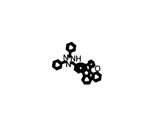 c1ccc(C2=NC(c3cccc(-c4cccc5c4C4(c6ccccc6O5)c5ccccc5-c5ccccc54)c3)NC(c3ccccc3)=N2)cc1